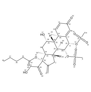 C=C1C[C@H]2[C@@H]3[C@@H](OS(C)(=O)=O)[C@@H](OS(C)(=O)=O)C4=CC(=O)C=C[C@]4(C)[C@H]3[C@@H](O)C[C@]2(C)[C@]1(OC(=O)CCCC)C(=O)CO